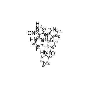 CN1CCC(NC(=O)C2CCN(c3c(F)cncc3NC(=O)C(C(N)N=O)C3NCC(F)CN3C)CC2)CC1